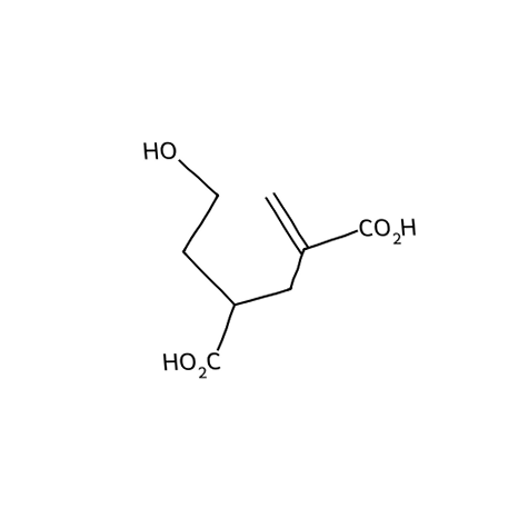 C=C(CC(CCO)C(=O)O)C(=O)O